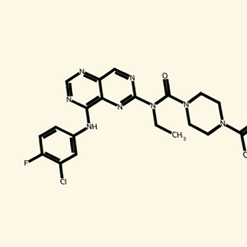 CCN(C(=O)N1CCN(C(C)=O)CC1)c1ncc2ncnc(Nc3ccc(F)c(Cl)c3)c2n1